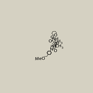 COCCc1ccc(N2C[C@H](CC(C)(C(=O)NOC3CCCCO3)S(C)(=O)=O)OC2=O)cc1